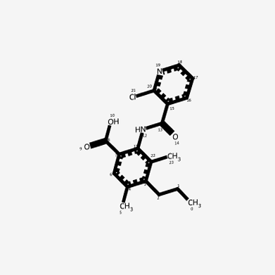 CCCc1c(C)cc(C(=O)O)c(NC(=O)c2cccnc2Cl)c1C